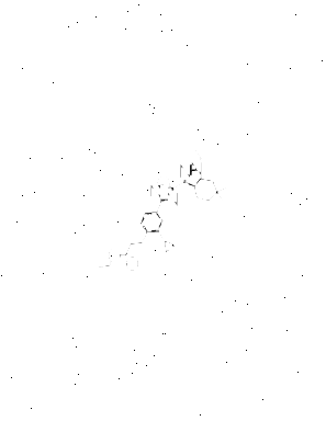 CCOC(=O)CCc1ccc(-c2noc(-c3nn(CC)c4c3CCC(C)(C)C4)n2)cc1C1CC1